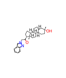 C[C@@]1(O)CC[C@H]2[C@H](CC[C@@H]3[C@@H]2CC[C@]2(C)[C@@H](C(=O)Cn4cc5ccccc5n4)CC[C@@H]32)C1